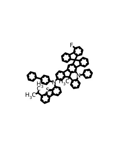 CC(C)c1cccc2c1sc1c(N(c3ccc(-c4ccccc4)cc3)c3ccc4c(c3)C3(C)c5ccccc5N(c5ccccc5)c5c6c(cc-4c53)C3(c4ccccc4-c4c(F)cccc43)c3ccccc3-6)cccc12